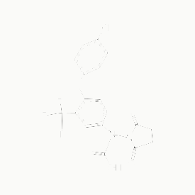 O=C1CCC(=O)N1N(C(=O)O)c1ccc(Oc2ccc(Cl)cc2)c(C(F)(F)F)c1